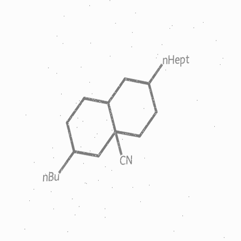 CCCCCCCC1CCC2(C#N)CC(CCCC)CCC2C1